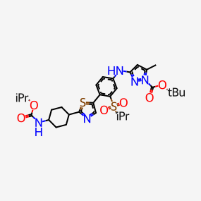 Cc1cc(Nc2ccc(-c3cnc(C4CCC(NC(=O)OC(C)C)CC4)s3)c(S(=O)(=O)C(C)C)c2)nn1C(=O)OC(C)(C)C